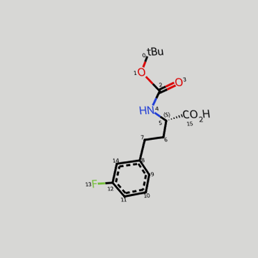 CC(C)(C)OC(=O)N[C@@H](CCc1cccc(F)c1)C(=O)O